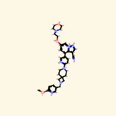 COc1ccc(CN2CC3(CCN(c4ccc(-c5cc(OCCN6CCOCC6)cn6ncc(C#N)c56)cn4)CC3)C2)cn1